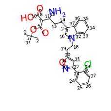 CC(C)(C)OC(=O)C(C(=O)O)C(N)CCc1cn(CCc2cc(-c3ccccc3Cl)no2)c2ccccc12